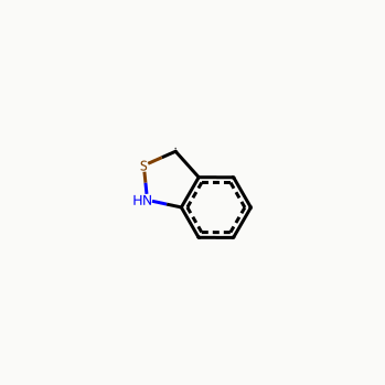 [CH]1SNc2ccccc21